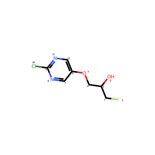 OC(CF)COc1cnc(Cl)nc1